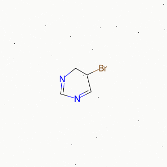 BrC1C=NC=NC1